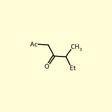 CCC(C)C(=O)CC(C)=O